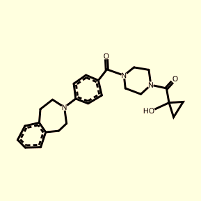 O=C(c1ccc(N2CCc3ccccc3CC2)cc1)N1CCN(C(=O)C2(O)CC2)CC1